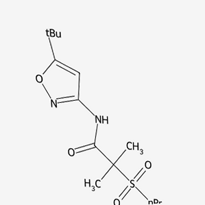 CCCS(=O)(=O)C(C)(C)C(=O)Nc1cc(C(C)(C)C)on1